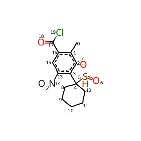 Cc1cc(C2([SH](=O)=O)CCCCC2)c([N+](=O)[O-])cc1C(=O)Cl